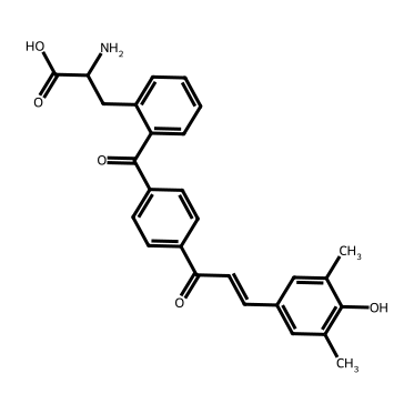 Cc1cc(C=CC(=O)c2ccc(C(=O)c3ccccc3CC(N)C(=O)O)cc2)cc(C)c1O